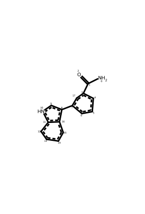 NC(=O)c1cccc(-c2c[nH]c3ccccc23)c1